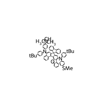 CSc1ccc(N(c2ccc(C(C)(C)C)cc2)c2cc3c(c4oc5ccccc5c24)-c2c(cc(N(c4ccc(C(C)(C)C)cc4)c4ccc([Si](C)(C)C)cc4)c4ccccc24)C32c3ccccc3-c3ccccc32)cc1